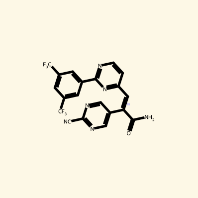 N#Cc1ncc(/C(=C\c2ccnc(-c3cc(C(F)(F)F)cc(C(F)(F)F)c3)n2)C(N)=O)cn1